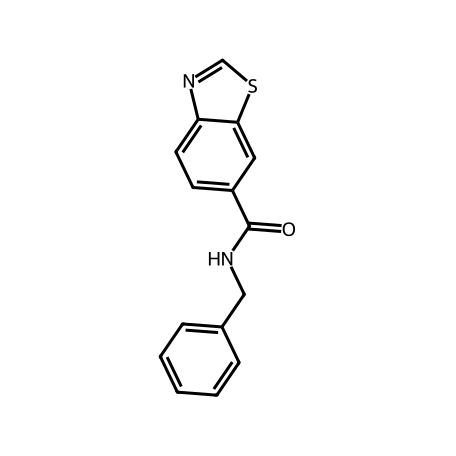 O=C(NCc1ccccc1)c1ccc2ncsc2c1